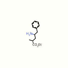 CCOC(=O)[C@@H](C)C[C@@H](N)Cc1ccccc1